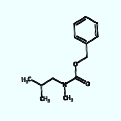 CC(C)CN(C)C(=O)OCc1ccccc1